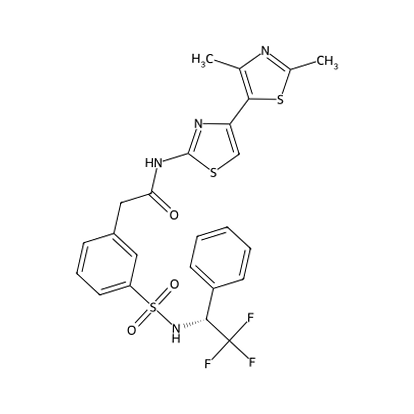 Cc1nc(C)c(-c2csc(NC(=O)Cc3cccc(S(=O)(=O)N[C@H](c4ccccc4)C(F)(F)F)c3)n2)s1